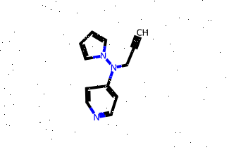 C#CCN(c1ccncc1)n1cccc1